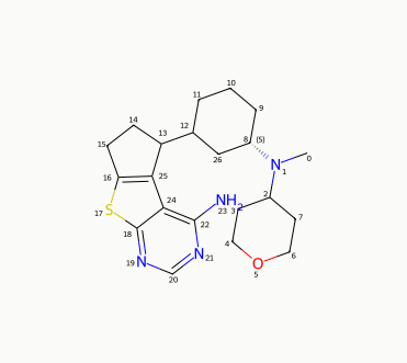 CN(C1CCOCC1)[C@H]1CCCC(C2CCc3sc4ncnc(N)c4c32)C1